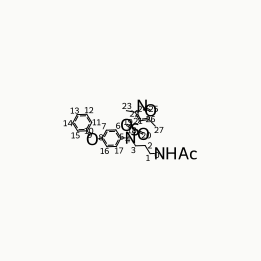 CC(=O)NCCCN(c1ccc(Oc2ccccc2)cc1)S(=O)(=O)c1c(C)noc1C